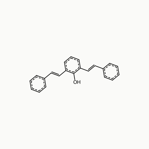 Oc1c(/C=C/c2ccccc2)cccc1/C=C/c1ccccc1